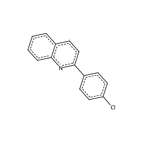 Clc1ccc(-c2c[c]c3ccccc3n2)cc1